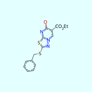 CCOC(=O)c1cn2nc(SCc3ccccc3)sc2nc1=O